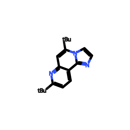 CC(C)(C)c1ccc2c(cc(C(C)(C)C)n3ccnc23)n1